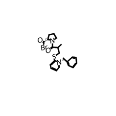 CC(CSc1cccc[n+]1Cc1ccccc1)C(=O)N1CCC[C@H]1C(=O)Br